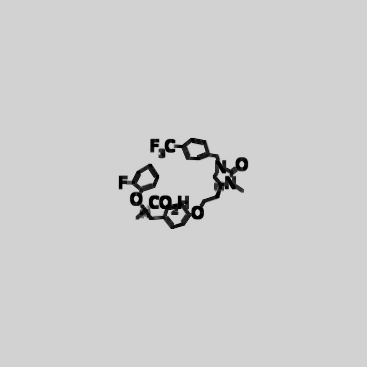 CN1C(=O)N(Cc2ccc(C(F)(F)F)cc2)C[C@@H]1CCOc1ccc(C[C@@](C)(Oc2ccccc2F)C(=O)O)cc1